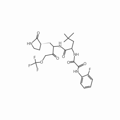 CC(C)(C)CC(NC(=O)C(=O)Nc1ccccc1F)C(=O)NC(C[C@@H]1CCNC1=O)C(=O)COC(F)(F)F